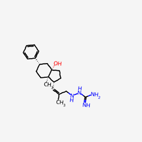 CC(=C[C@H]1CC[C@]2(O)C[C@@H](c3ccccc3)CC[C@]12C)CNNC(=N)N